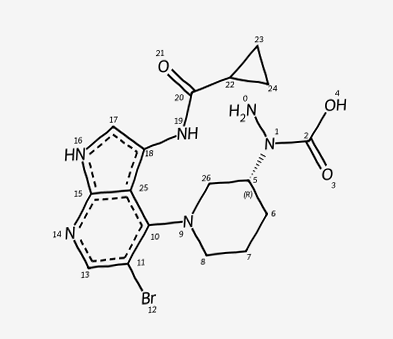 NN(C(=O)O)[C@@H]1CCCN(c2c(Br)cnc3[nH]cc(NC(=O)C4CC4)c23)C1